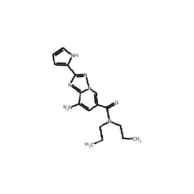 CCCN(CCC)C(=O)c1cc(N)c2nc(-c3ccc[nH]3)nn2c1